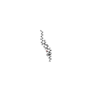 CCCCCCC[C@H]1CC[C@H]([C@H]2CC[C@H]([C@H]3CC[C@H](OC(=O)CCCC)CC3)CC2)CC1